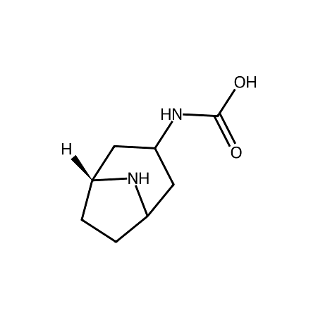 O=C(O)NC1CC2CC[C@H](C1)N2